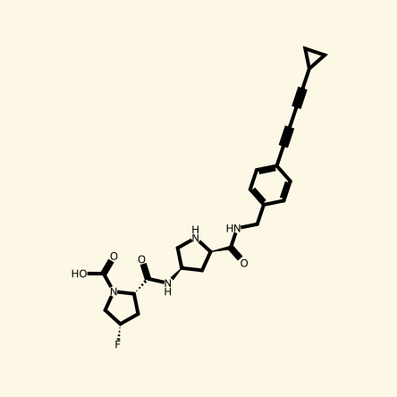 O=C(NCc1ccc(C#CC#CC2CC2)cc1)[C@H]1C[C@@H](NC(=O)[C@@H]2C[C@H](F)CN2C(=O)O)CN1